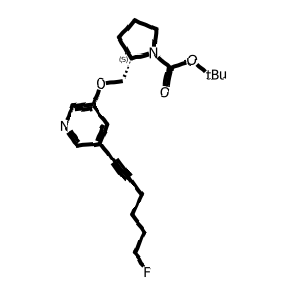 CC(C)(C)OC(=O)N1CCC[C@H]1COc1cncc(C#CCCCCF)c1